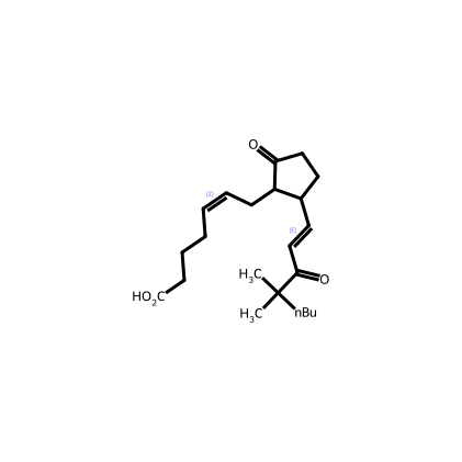 CCCCC(C)(C)C(=O)/C=C/C1CCC(=O)C1C/C=C\CCCC(=O)O